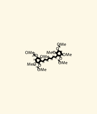 COCOc1cc(OC)c(OCOC)c(CCCCCCCc2c(OC)c(OCOC)cc(OC)c2OCOC)c1OC